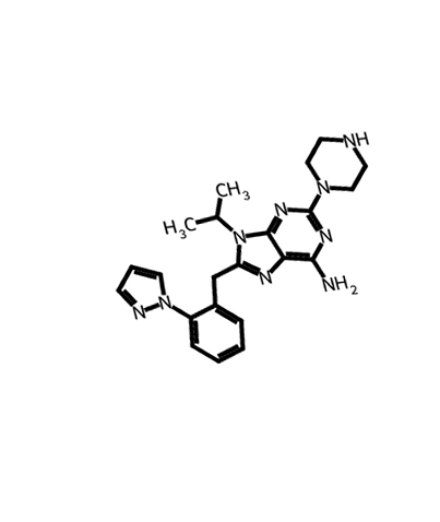 CC(C)n1c(Cc2ccccc2-n2cccn2)nc2c(N)nc(N3CCNCC3)nc21